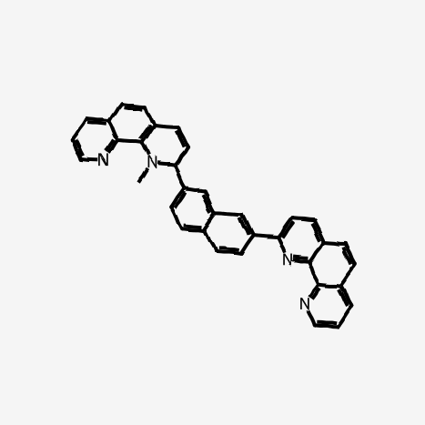 CN1c2c(ccc3cccnc23)C=CC1c1ccc2ccc(-c3ccc4ccc5cccnc5c4n3)cc2c1